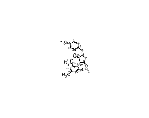 Cc1ccc(CC2CC(=O)C(c3c(C)cc(C)cc3C)C2=O)nc1